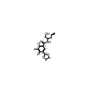 C=CCC(CO)Nc1noc2c(F)c(F)c(C3OCCO3)cc12